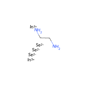 NCCN.[In+3].[In+3].[Se-2].[Se-2].[Se-2]